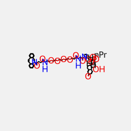 CCCC1O[C@@H]2C[C@H]3[C@@H]4CCC5=CC(=O)C=C[C@]5(C)C4[C@@H](O)C[C@]3(C)[C@]2(C(=O)COC2CCN2C(=O)CNC(=O)CCOCCOCCOCCOCCNC(=O)CCC(=O)N2Cc3ccccc3C#Cc3ccccc32)O1